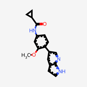 COc1cc(NC(=O)C2CC2)ccc1-c1cnc2[nH]ccc2c1